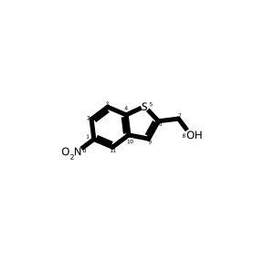 O=[N+]([O-])c1ccc2sc(CO)cc2c1